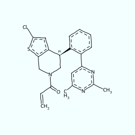 C=CC(=O)N1Cc2sc(Cl)cc2[C@@H](c2ccccc2-c2cc(C)nc(C)n2)C1